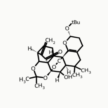 C=C1C(=O)[C@@]23C4OC(C)(C)O[C@]25OC[C@]2(C6=C(CC[C@@H](OC(C)(C)C)O6)CC(C)(C)[C@H]2[C@@H]5O)[C@@H]3CC[C@@H]14